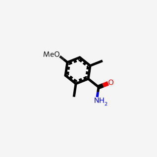 COc1cc(C)c(C(N)=O)c(C)c1